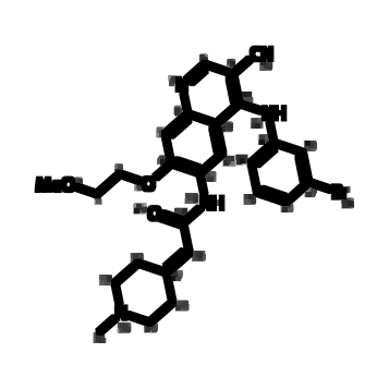 COCCOc1cc2ncc(C#N)c(Nc3cccc(Br)c3)c2cc1NC(=O)C=C1CCN(C)CC1